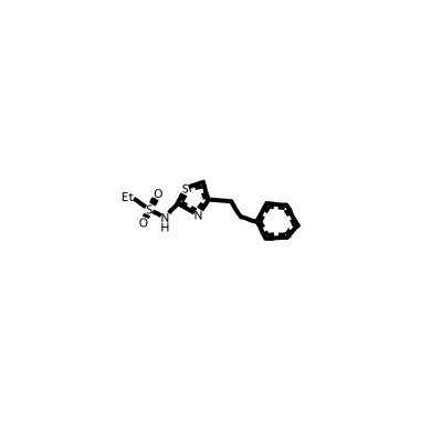 CCS(=O)(=O)Nc1nc(CCc2c[c]ccc2)cs1